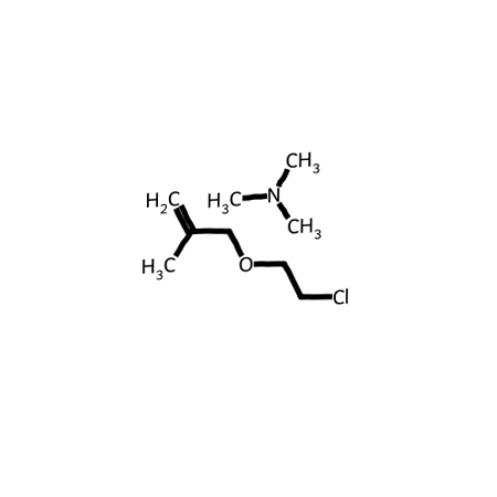 C=C(C)COCCCl.CN(C)C